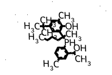 CCCCC(C)(Pc1ccc(C)cc1C(C)O)c1cc(C(C)(C)C)cc(C)c1O